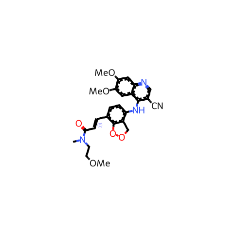 COCCN(C)C(=O)/C=C/c1ccc(Nc2c(C#N)cnc3cc(OC)c(OC)cc23)c2c1OOC2